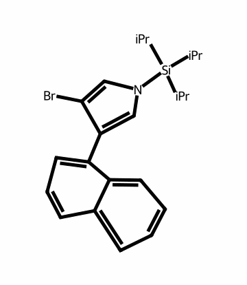 CC(C)[Si](C(C)C)(C(C)C)n1cc(Br)c(-c2cccc3ccccc23)c1